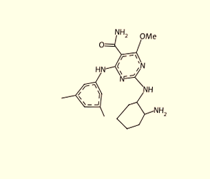 COc1nc(NC2CCCCC2N)nc(Nc2cc(C)cc(C)c2)c1C(N)=O